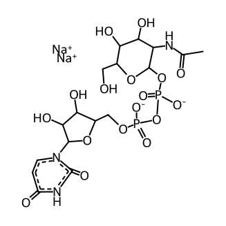 CC(=O)NC1C(OP(=O)([O-])OP(=O)([O-])OCC2OC(n3ccc(=O)[nH]c3=O)C(O)C2O)OC(CO)C(O)C1O.[Na+].[Na+]